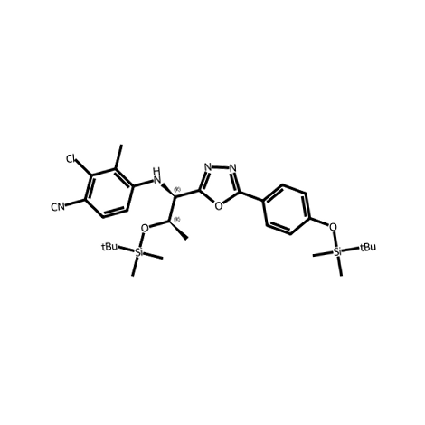 [C-]#[N+]c1ccc(N[C@@H](c2nnc(-c3ccc(O[Si](C)(C)C(C)(C)C)cc3)o2)[C@@H](C)O[Si](C)(C)C(C)(C)C)c(C)c1Cl